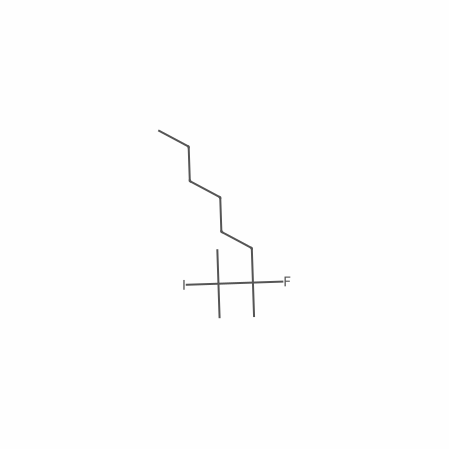 CCCCCCC(C)(F)C(C)(C)I